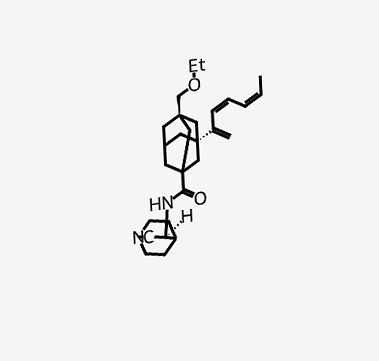 C=C(/C=C\C=C/C)[C@]12CC3CC(C(=O)N[C@@H]4CN5CCC4CC5)(C[C@](COCC)(C3)C1)C2